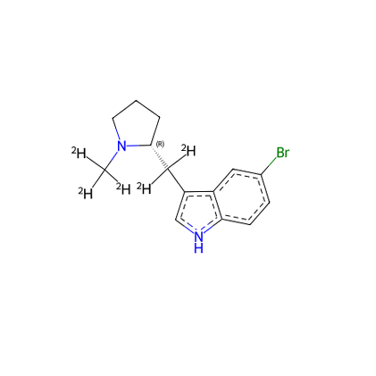 [2H]C([2H])(c1c[nH]c2ccc(Br)cc12)[C@H]1CCCN1C([2H])([2H])[2H]